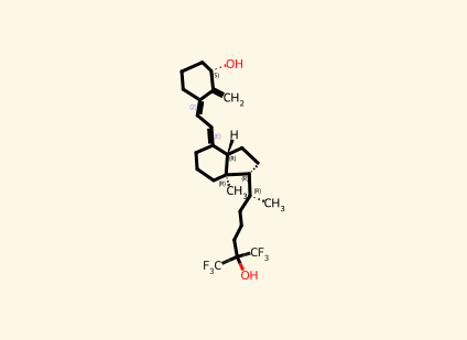 C=C1/C(=C\C=C2/CCC[C@]3(C)[C@@H]([C@H](C)CCCC(O)(C(F)(F)F)C(F)(F)F)CC[C@@H]23)CCC[C@@H]1O